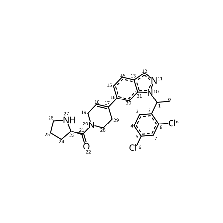 CC(c1ccc(Cl)cc1Cl)n1ncc2ccc(C3=CCN(C(=O)[C@H]4CCCN4)CC3)cc21